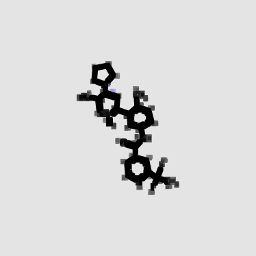 C=C(/C=C(\C(=N)CCCC)N1CCCC1)c1cc(NC(=O)c2ccnc(C(C)(F)F)c2)ccc1C